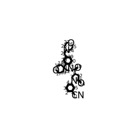 N#Cc1cccc(N2C[C@@H](C(=O)N3CC4(CCOCC4)c4cc(CN5CCOCC5)ccc43)CC2=O)c1